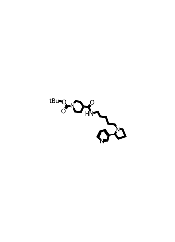 CC(C)(C)OC(=O)N1CCC(C(=O)NCCCCCN2CCC[C@H]2c2cccnc2)CC1